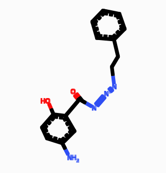 Nc1ccc(O)c(C(=O)N=[N+]=NCCc2ccccc2)c1